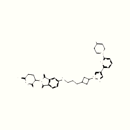 O=C1CCC(N2C(=O)c3ccc(NCCCC4CC(n5cc(-c6cccc(N7CCC(O)CC7)n6)cn5)C4)cc3C2=O)C(=O)N1